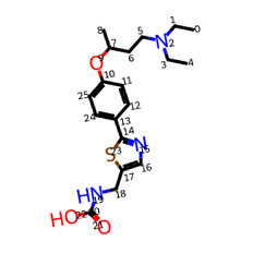 CCN(CC)CCC(C)Oc1ccc(-c2ncc(CNC(=O)O)s2)cc1